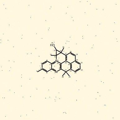 Cc1ccc2c(c1)nc1c3[n+]2C2(C)C(O)C2(C)c2ccc4cccc(c4c2-3)C1(C)C